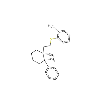 Cc1ccccc1SCC[C@]1(C)CCCC[C@]1(C)c1ccccc1